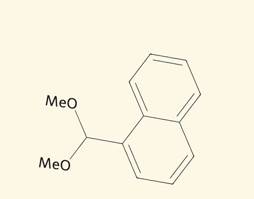 COC(OC)c1cccc2ccccc12